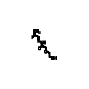 O=C(COCCO)NN=CB(P)I